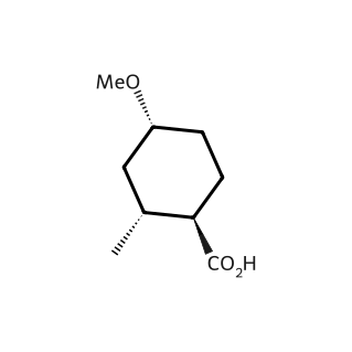 CO[C@@H]1CC[C@@H](C(=O)O)[C@H](C)C1